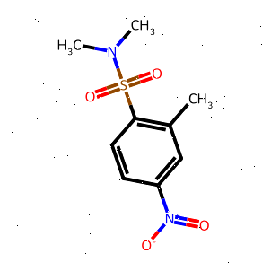 Cc1cc([N+](=O)[O-])ccc1S(=O)(=O)N(C)C